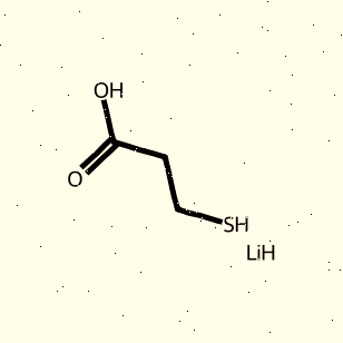 O=C(O)CCS.[LiH]